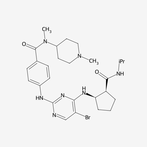 CC(C)NC(=O)[C@H]1CCC[C@H]1Nc1nc(Nc2ccc(C(=O)N(C)C3CCN(C)CC3)cc2)ncc1Br